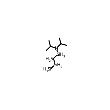 CC(C)N([SiH2][SiH2][SiH2][SiH3])C(C)C